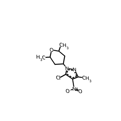 Cc1nn(C2CC(C)OC(C)C2)c(Cl)c1[N+](=O)[O-]